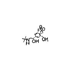 CC(C)(C)NCC(O)c1ccc(OS(=O)(=O)F)c(CO)c1